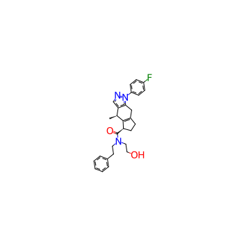 C[C@@H]1C2=C(CC[C@H]2C(=O)N(CCO)CCc2ccccc2)Cc2c1cnn2-c1ccc(F)cc1